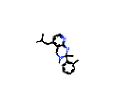 Cc1ccccc1C1(C)N=c2nccc(CC(C)C)c2=CN1C